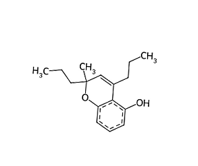 CCCC1=CC(C)(CCC)Oc2cccc(O)c21